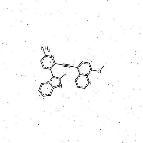 COc1ccc(C#Cc2nc(N)ccc2-c2c(C)nc3ccccn23)c2cccnc12